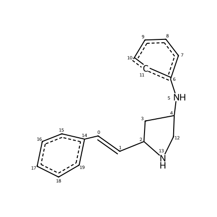 C(=CC1CC(Nc2ccccc2)CN1)c1ccccc1